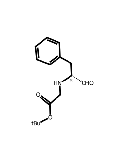 CC(C)(C)OC(=O)CN[C@@H](C=O)Cc1ccccc1